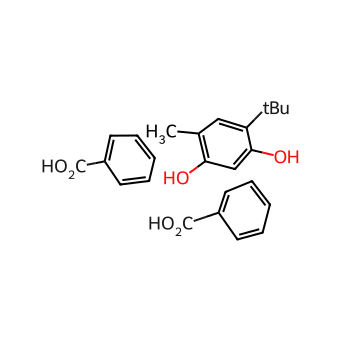 Cc1cc(C(C)(C)C)c(O)cc1O.O=C(O)c1ccccc1.O=C(O)c1ccccc1